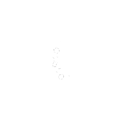 N#Cc1cccc(NC(=O)c2ccn(C(=O)Nc3ccc(OC(F)(F)F)cc3)n2)c1